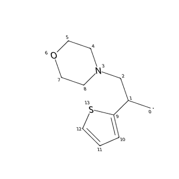 [CH2]C(CN1CCOCC1)c1cccs1